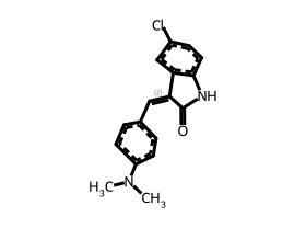 CN(C)c1ccc(/C=C2\C(=O)Nc3ccc(Cl)cc32)cc1